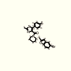 Cc1nc(C(=O)N2CCCC[C@H]2Cc2cc3cc(Br)ccc3o2)c(-c2ccc(F)cc2)s1